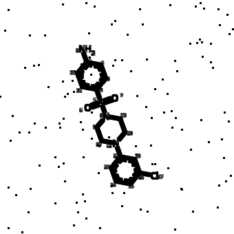 Nc1ccc(S(=O)(=O)N2CCN(c3cccc(Cl)c3)CC2)cc1